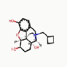 Oc1ccc2c3c1O[C@@H]1C(O)CC[C@]4(O)[C@H](C2)N(CC2CCC2)CC[C@@]314